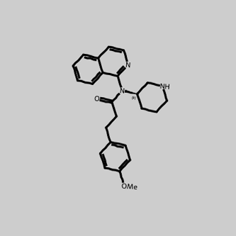 COc1ccc(CCC(=O)N(c2nccc3ccccc23)[C@@H]2CCCNC2)cc1